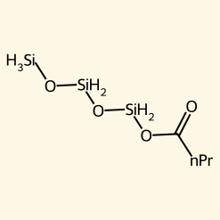 CCCC(=O)O[SiH2]O[SiH2]O[SiH3]